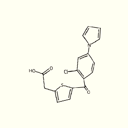 O=C(O)Cc1ccc(C(=O)c2ccc(-n3cccc3)cc2Cl)s1